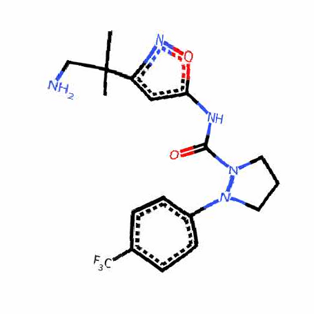 CC(C)(CN)c1cc(NC(=O)N2CCCN2c2ccc(C(F)(F)F)cc2)on1